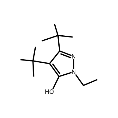 CCn1nc(C(C)(C)C)c(C(C)(C)C)c1O